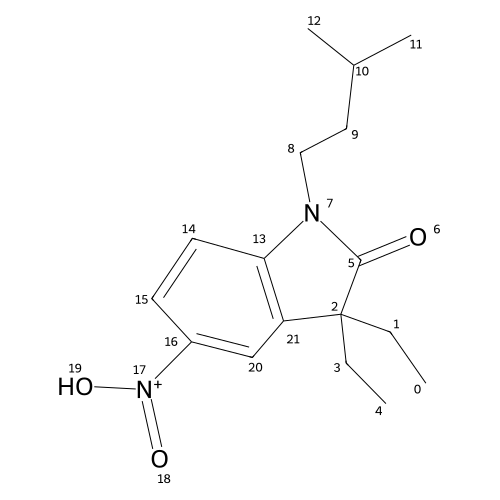 CCC1(CC)C(=O)N(CCC(C)C)c2ccc([N+](=O)O)cc21